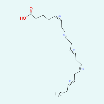 CC/C=C/C/C=C\C/C=C/C/C=C/C/C=C\CCCC(=O)O